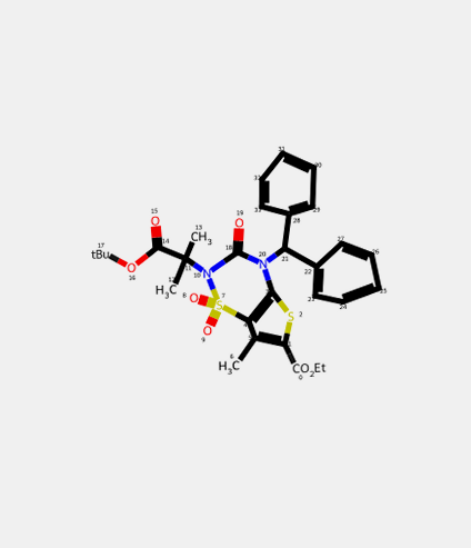 CCOC(=O)c1sc2c(c1C)S(=O)(=O)N(C(C)(C)C(=O)OC(C)(C)C)C(=O)N2C(c1ccccc1)c1ccccc1